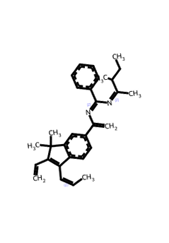 C=CC1=C(/C=C\C)c2ccc(C(=C)/N=C(\N=C(\C)C(C)CC)c3ccccc3)cc2C1(C)C